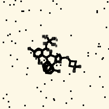 Cc1cc(Cl)cc(C(=O)NC(C)(C)C)c1N(C(=O)c1cc(OC2CS(=O)(=O)C2)nn1-c1ncccc1Cl)c1ccccc1